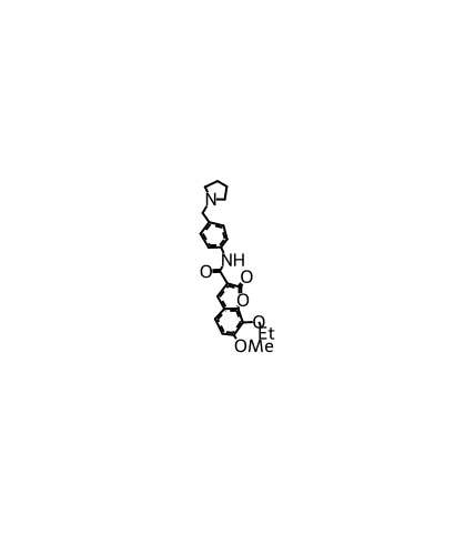 CCOc1c(OC)ccc2cc(C(=O)Nc3ccc(CN4CCCC4)cc3)c(=O)oc12